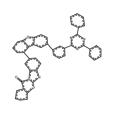 O=c1c2ccccc2sc2nc3ccc(-c4cccc5oc6ccc(-c7cccc(-c8nc(-c9ccccc9)nc(-c9ccccc9)n8)c7)cc6c45)cc3n12